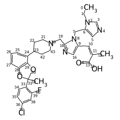 CCn1cncc1Cn1c(C=C(C)C(=O)O)cnc1CN1CCC(c2cccc3c2OC(C)(c2ccc(Cl)cc2F)O3)CC1